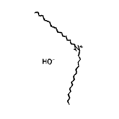 CCCCCCCCCCCCCCCCC[N+](C)(C)CCCCCCCCCCCCCCCC.[OH-]